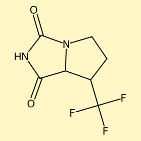 O=C1NC(=O)N2CCC(C(F)(F)F)C12